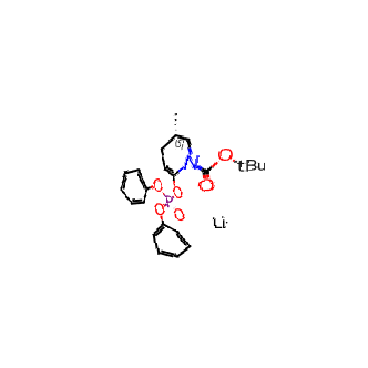 C[C@H]1CC=C(OP(=O)(Oc2ccccc2)Oc2ccccc2)N(C(=O)OC(C)(C)C)C1.[Li]